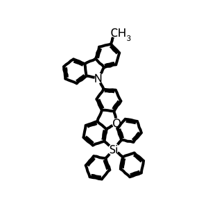 Cc1ccc2c(c1)c1ccccc1n2-c1ccc2oc3c([Si](c4ccccc4)(c4ccccc4)c4ccccc4)cccc3c2c1